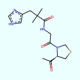 CC(=O)[C@@H]1CSCN1C(=O)CNC(=O)C(C)(C)Cc1c[nH]cn1